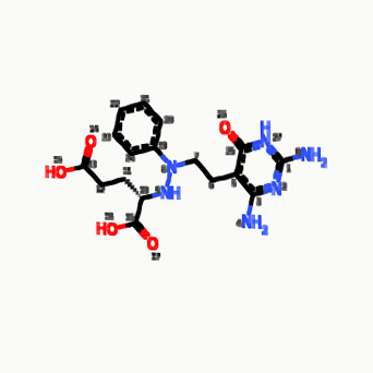 Nc1nc(N)c(CCN(N[C@@H](CCC(=O)O)C(=O)O)c2ccccc2)c(=O)[nH]1